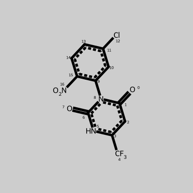 O=c1cc(C(F)(F)F)[nH]c(=O)n1-c1cc(Cl)ccc1[N+](=O)[O-]